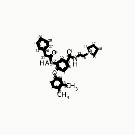 Cc1ccc(Oc2ccc(C(=O)NCCN3CCCC3)cc2[AsH]C(=O)Cc2ccccc2)cc1C